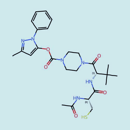 CC(=O)N[C@@H](CS)C(=O)N[C@H](C(=O)N1CCN(C(=O)Oc2cc(C)nn2-c2ccccc2)CC1)C(C)(C)C